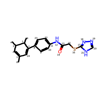 CC1=CC(C)C(C)C(c2ccc(NC(=O)CSc3nnc[nH]3)cc2)=C1